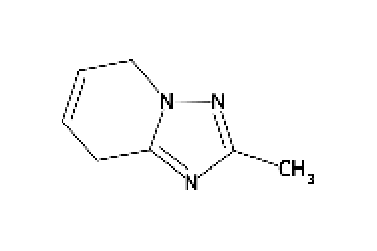 Cc1nc2n(n1)CC=CC2